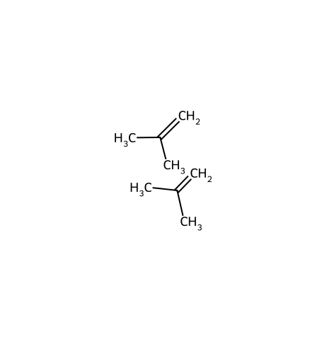 C=C(C)C.C=C(C)C